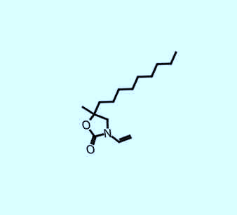 C=CN1CC(C)(CCCCCCCCC)OC1=O